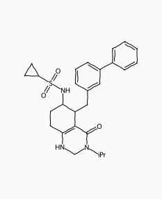 CC(C)N1CNC2=C(C1=O)C(Cc1cccc(-c3ccccc3)c1)C(NS(=O)(=O)C1CC1)CC2